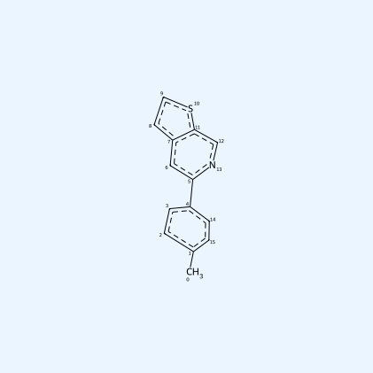 Cc1ccc(-c2cc3ccsc3cn2)cc1